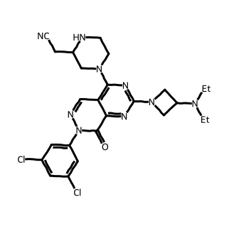 CCN(CC)C1CN(c2nc(N3CCNC(CC#N)C3)c3cnn(-c4cc(Cl)cc(Cl)c4)c(=O)c3n2)C1